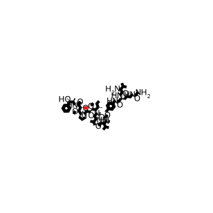 CC[C@H](C)[C@@H]([C@@H](CC(=O)N1CCC[C@H]1[C@H](OC)[C@@H](C)C(=O)N[C@H](C)[C@@H](O)c1ccccc1)OC)N(C)C(=O)[C@@H](NC(=O)C(C(C)C)N(C)C(=O)OCc1ccc(NC(=O)[C@H](CCCNC(N)=O)NC(=O)C(N)C(C)C)cc1)C(C)C